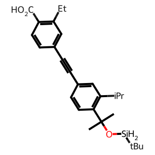 CCc1cc(C#Cc2ccc(C(C)(C)O[SiH2]C(C)(C)C)c(C(C)C)c2)ccc1C(=O)O